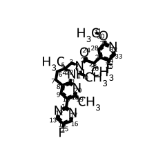 CCN(C[C@@]1(C)CCc2cc(-c3ncc(F)cn3)c(C)nc2N1)C(=O)[C@H](C)c1cc(OC)ncc1F